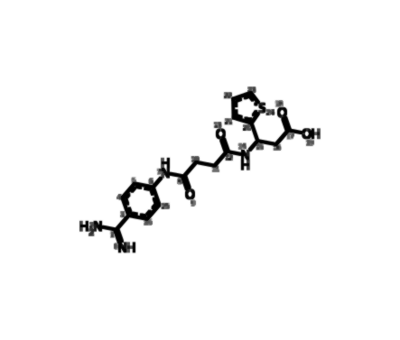 N=C(N)c1ccc(NC(=O)CCC(=O)NC(CC(=O)O)c2cccs2)cc1